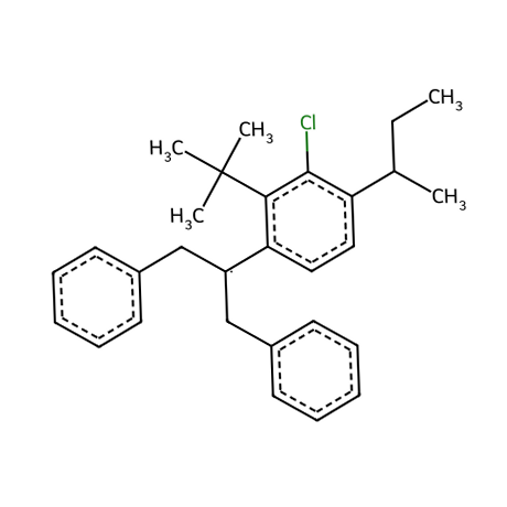 CCC(C)c1ccc([C](Cc2ccccc2)Cc2ccccc2)c(C(C)(C)C)c1Cl